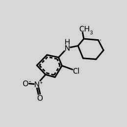 CC1[CH]CCCC1Nc1ccc([N+](=O)[O-])cc1Cl